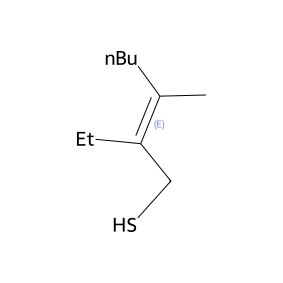 CCCC/C(C)=C(\CC)CS